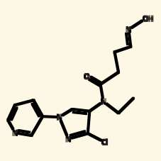 CCN(C(=O)CCC=NO)c1cn(-c2cccnc2)nc1Cl